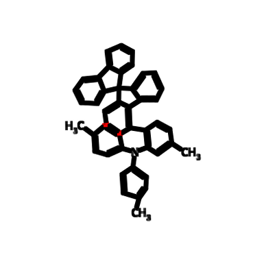 Cc1ccc(N(c2ccc(C)cc2)c2cc(C)ccc2-c2cccc3c2-c2ccccc2C32c3ccccc3-c3ccccc32)cc1